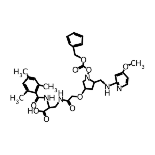 COc1ccnc(NCC2CC(OCC(=O)NCC(NC(=O)c3c(C)cc(C)cc3C)C(=O)O)CN2OC(=O)OCc2ccccc2)c1